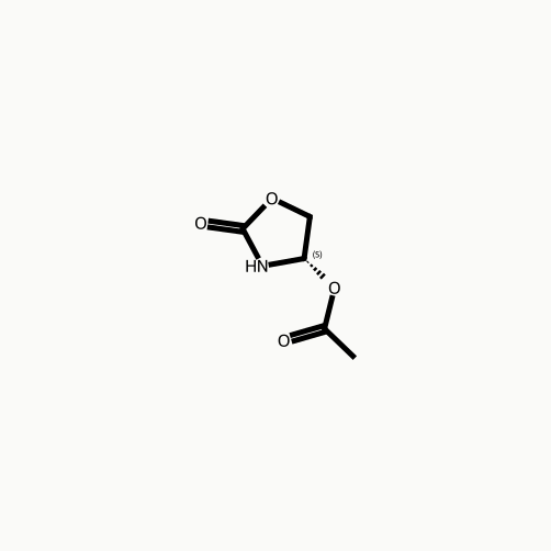 CC(=O)O[C@H]1COC(=O)N1